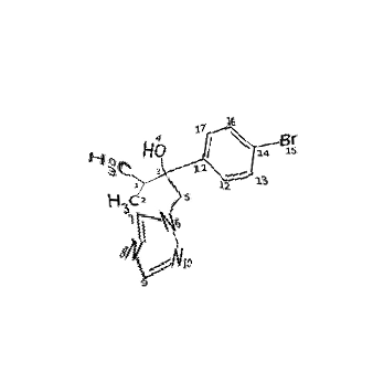 CC(C)C(O)(Cn1cncn1)c1ccc(Br)cc1